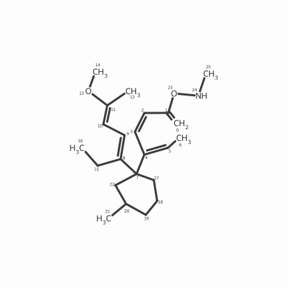 C=C(/C=C\C(=C/C)C1(/C(=C/C=C(\C)OC)CC)CCCC(C)C1)ONC